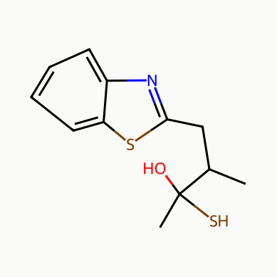 CC(Cc1nc2ccccc2s1)C(C)(O)S